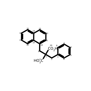 O=C(O)C(Cc1ccccc1)(Cc1cccc2ccccc12)C(=O)O